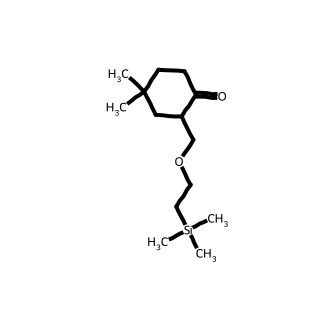 CC1(C)CCC(=O)C(COCC[Si](C)(C)C)C1